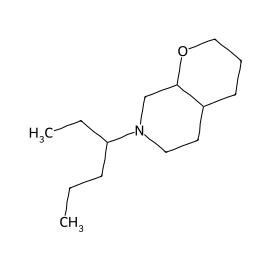 CCCC(CC)N1CCC2CCCOC2C1